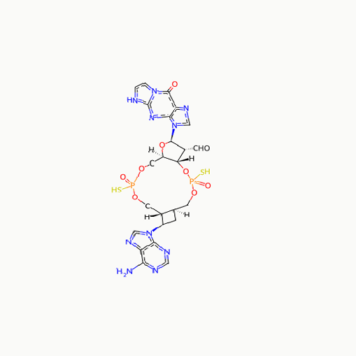 Nc1ncnc2c1ncn2[C@@H]1C[C@@H]2COP(=O)(S)O[C@H]3[C@@H](C=O)[C@H](n4cnc5c(=O)n6cc[nH]c6nc54)O[C@@H]3COP(=O)(S)OC[C@H]21